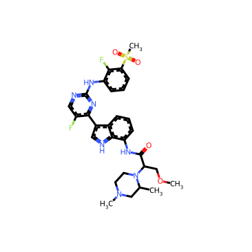 COCC(C(=O)Nc1cccc2c(-c3nc(Nc4cccc(S(C)(=O)=O)c4F)ncc3F)c[nH]c12)N1CCN(C)CC1C